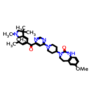 C=C(C)/C=C(\C=C1/CN(C)CC1(C)C)C(=O)c1cc(N2CCC(N3CCc4cc(OC)ccc4NC3=O)CC2)ncn1